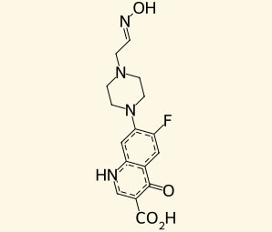 O=C(O)c1c[nH]c2cc(N3CCN(C/C=N/O)CC3)c(F)cc2c1=O